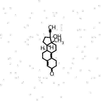 C#C[C@]1(O)CC[C@H]2[C@@H]3CCC4=CC(=O)CCC4=C3CCC21C